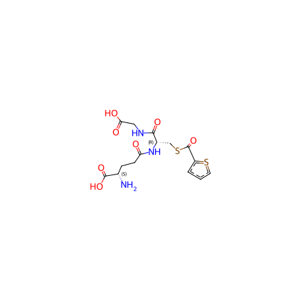 N[C@@H](CCC(=O)N[C@@H](CSC(=O)c1cccs1)C(=O)NCC(=O)O)C(=O)O